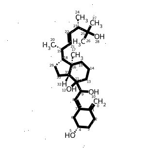 C=C1CC[C@H](O)C/C1=C/C(O)C1(O)CCC[C@]2(C)[C@@H]([C@H](C)/C=C/[C@H](C)C(C)(C)O)CC[C@@H]12